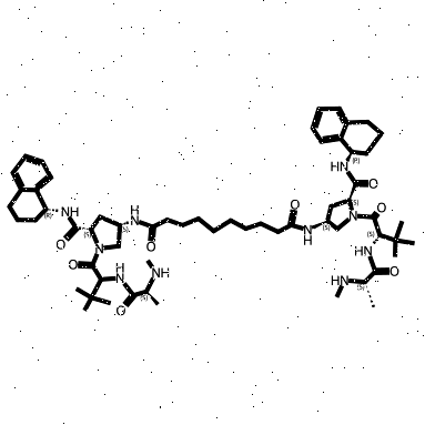 CN[C@@H](C)C(=O)NC(C(=O)N1C[C@@H](NC(=O)CCCCCCCCC(=O)N[C@H]2C[C@@H](C(=O)N[C@@H]3CCCc4ccccc43)N(C(=O)[C@@H](NC(=O)[C@H](C)NC)C(C)(C)C)C2)C[C@H]1C(=O)N[C@@H]1CCCc2ccccc21)C(C)(C)C